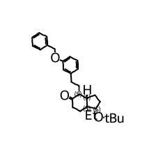 CC[C@]12CCC(=O)[C@@H](CCc3cccc(OCc4ccccc4)c3)[C@@H]1CC[C@@H]2OC(C)(C)C